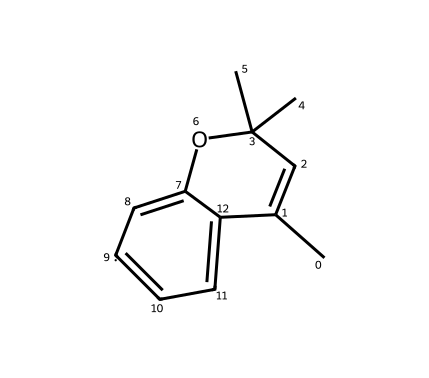 CC1=CC(C)(C)Oc2c[c]ccc21